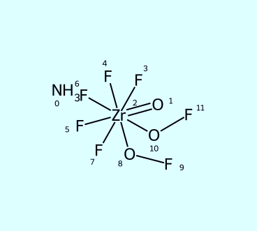 N.[O]=[Zr]([F])([F])([F])([F])([F])([O]F)[O]F